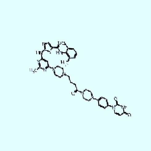 Cc1nc(Nc2ncc(C(=O)Nc3c(C)cccc3Cl)s2)cc(N2CCN(CCCC(=O)N3CCN(c4ccc(-n5ccc(=O)[nH]c5=O)cc4)CC3)CC2)n1